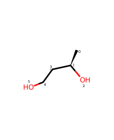 C[C@@H](O)[CH]CO